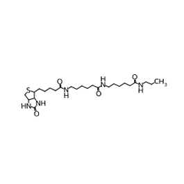 CCCNC(=O)CCCCCNC(=O)CCCCCNC(=O)CCCCC1SCC2NC(=O)NC21